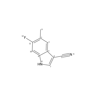 Cc1cc2c(C#N)c[nH]c2cc1F